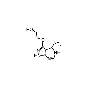 NC1NC=Nc2[nH]nc(OCCO)c21